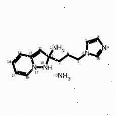 N.NC1(CCCn2ccnc2)C=C2C=CC=CN2N1